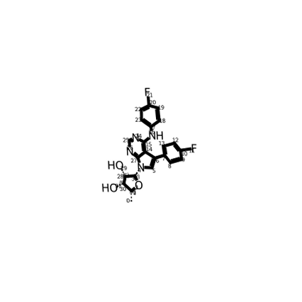 C[C@H]1O[C@@H](n2cc(-c3ccc(F)cc3)c3c(Nc4ccc(F)cc4)ncnc32)[C@@H](O)[C@H]1O